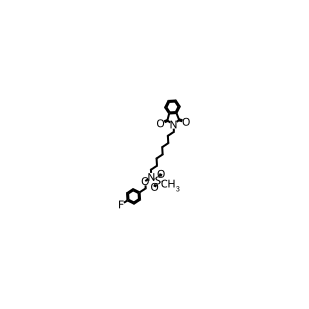 CS(=O)(=O)N(CCCCCCCCN1C(=O)c2ccccc2C1=O)OCc1ccc(F)cc1